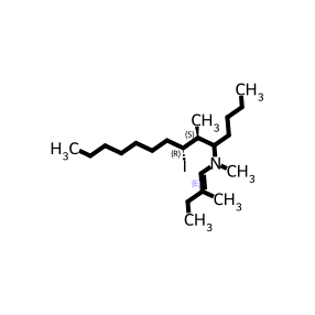 CCCCCCC[C@@H](I)[C@@H](C)C(CCCC)N(C)/C=C(\C)CC